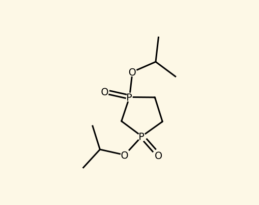 CC(C)OP1(=O)CCP(=O)(OC(C)C)C1